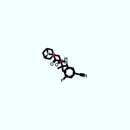 CC(C)(C)NC(=O)CN1C2CC1CN(CC(=O)Nc1cc(F)cc(C#N)c1)C2